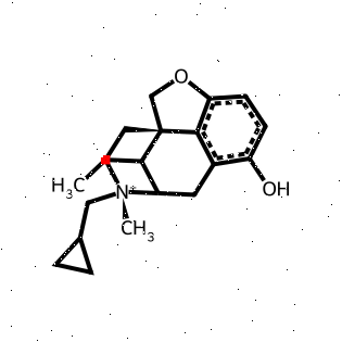 CCC1C2Cc3c(O)ccc4c3[C@@]1(CC[N@@+]2(C)CC1CC1)CO4